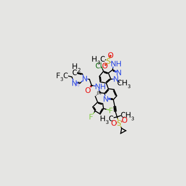 C=CN(/C=N\CC(F)(F)F)CC(=O)N[C@@H](Cc1cc(F)cc(F)c1)c1nc(C#CC(C)(C)S(=O)(=O)C2CC2)ccc1-c1ccc(Cl)c2c(NS(C)(=O)=O)nn(C)c12